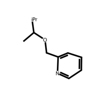 CC(C)C(C)OCc1ccccn1